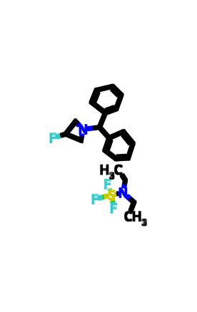 CCN(CC)S(F)(F)F.FC1CN(C(c2ccccc2)c2ccccc2)C1